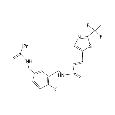 C=C(/C=C/c1cnc(C(C)(F)F)s1)NCc1cc(CNC(=C)C(C)C)ccc1Cl